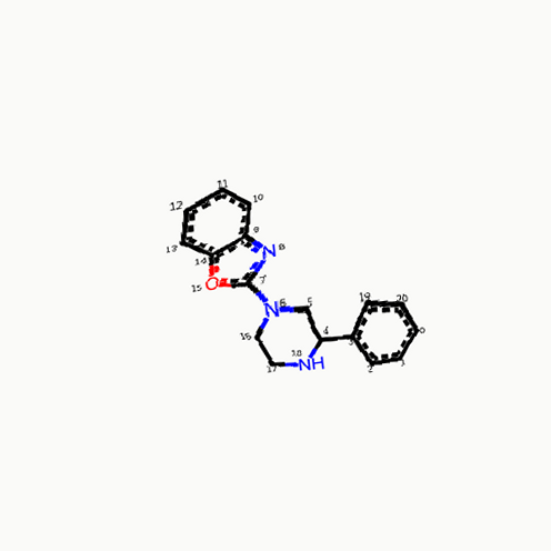 c1ccc(C2CN(c3nc4ccccc4o3)CCN2)cc1